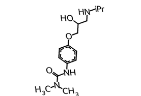 CC(C)NCC(O)COc1ccc(NC(=O)N(C)C)cc1